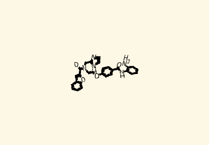 Nc1ccccc1NC(=O)c1ccc(OCCN(Cc2ncc[nH]2)C(=O)c2cc3ccccc3o2)cc1